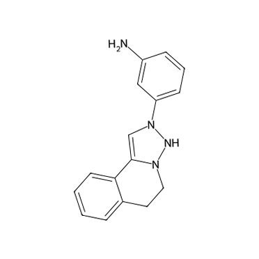 Nc1cccc(N2C=C3c4ccccc4CCN3N2)c1